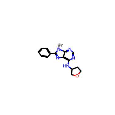 CC(C)n1c(-c2ccccc2)nc2c(NC3CCOC3)ncnc21